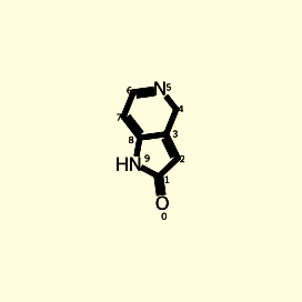 O=C1C=C2CN=CC=C2N1